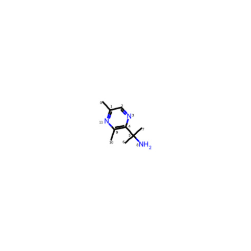 Cc1cnc(C(C)(C)N)c(C)n1